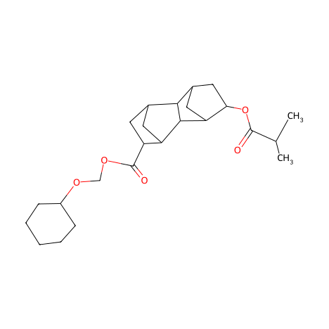 CC(C)C(=O)OC1CC2CC1C1C3CC(CC3C(=O)OCOC3CCCCC3)C21